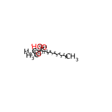 CCCCCCCCCCCCC(C(=O)O)C(CC)OC